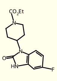 CCOC(=O)N1CCC(n2c(=O)[nH]c3cc(F)ccc32)CC1